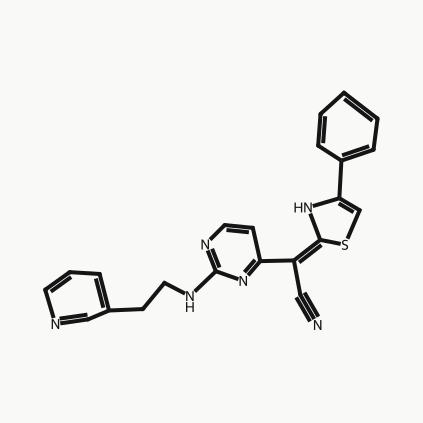 N#CC(=C1NC(c2ccccc2)=CS1)c1ccnc(NCCc2cccnc2)n1